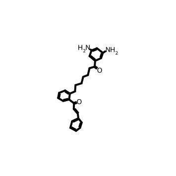 Nc1cc(N)cc(C(=O)CCCCCCc2ccccc2C(=O)C=Cc2ccccc2)c1